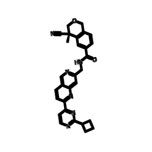 C[C@@]1(C#N)COCc2ccc(C(=O)NCc3cc4nc(-c5ccnc(C6CCC6)n5)ccc4cn3)cc21